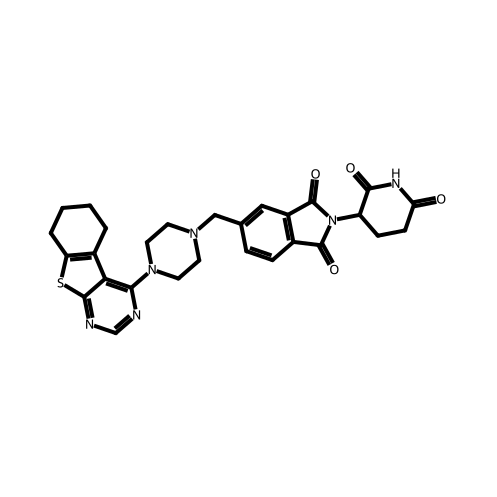 O=C1CCC(N2C(=O)c3ccc(CN4CCN(c5ncnc6sc7c(c56)CCCC7)CC4)cc3C2=O)C(=O)N1